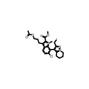 COC(=O)c1c(CCCOC(C)=O)c2ccc(Cl)c(-c3c(CI)nn4c3CCCC4)c2n1C